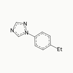 CCc1ccc(-n2cncn2)cc1